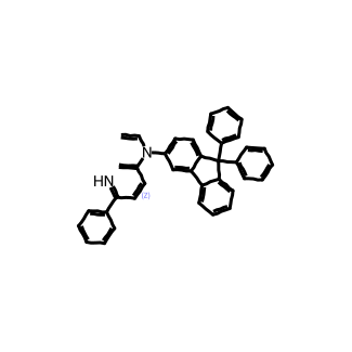 C=CN(C(=C)/C=C\C(=N)c1ccccc1)c1ccc2c(c1)-c1ccccc1C2(c1ccccc1)c1ccccc1